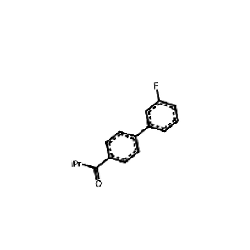 CC(C)C(=O)c1ccc(-c2cccc(F)c2)cc1